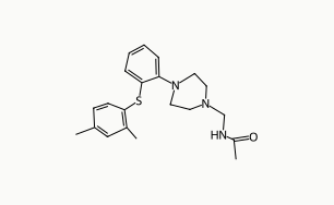 CC(=O)NCN1CCN(c2ccccc2Sc2ccc(C)cc2C)CC1